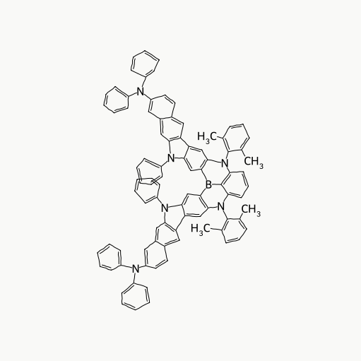 Cc1cccc(C)c1N1c2cc3c4cc5ccc(N(c6ccccc6)c6ccccc6)cc5cc4n(-c4ccccc4)c3cc2B2c3cc4c(cc3N(c3c(C)cccc3C)c3cccc1c32)c1cc2ccc(N(c3ccccc3)c3ccccc3)cc2cc1n4-c1ccccc1